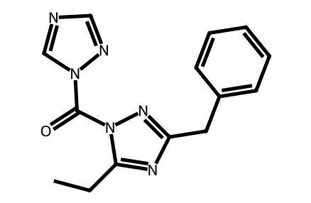 CCc1nc(Cc2ccccc2)nn1C(=O)n1cncn1